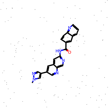 Cn1cc(-c2cnc3cnc(NC(=O)c4ccc5ncccc5c4)cc3c2)cn1